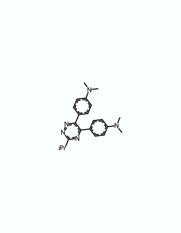 CC(C)c1nnc(-c2ccc(N(C)C)cc2)c(-c2ccc(N(C)C)cc2)n1